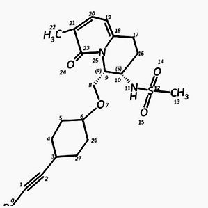 CCCC#CC1CCC(OC[C@H]2[C@@H](NS(C)(=O)=O)CCc3ccc(C)c(=O)n32)CC1